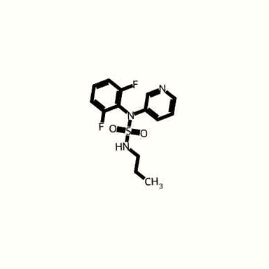 CCCNS(=O)(=O)N(c1cccnc1)c1c(F)cccc1F